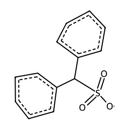 [O]S(=O)(=O)C(c1ccccc1)c1ccccc1